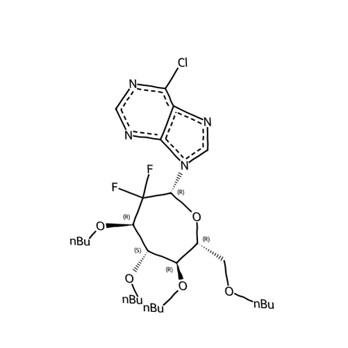 CCCCOC[C@H]1O[C@@H](n2cnc3c(Cl)ncnc32)C(F)(F)[C@H](OCCCC)[C@@H](OCCCC)[C@@H]1OCCCC